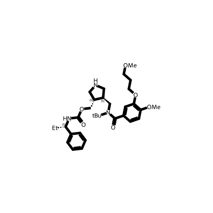 CC[C@H](NC(=O)OC[C@@H]1CNC[C@H]1CN(C(=O)c1ccc(OC)c(OCCCOC)c1)C(C)(C)C)c1ccccc1